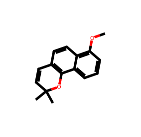 COc1cccc2c3c(ccc12)C=CC(C)(C)O3